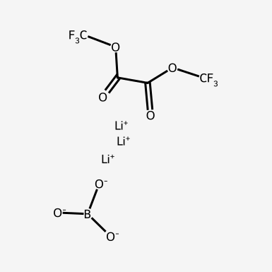 O=C(OC(F)(F)F)C(=O)OC(F)(F)F.[Li+].[Li+].[Li+].[O-]B([O-])[O-]